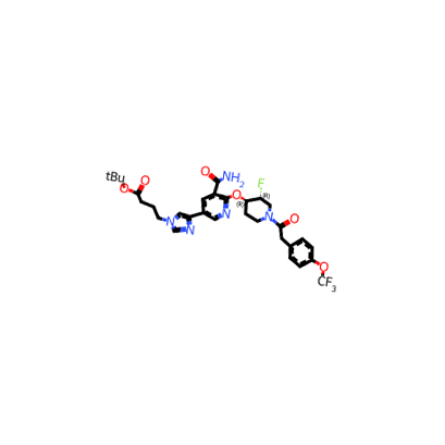 CC(C)(C)OC(=O)CCCn1cnc(-c2cnc(O[C@@H]3CCN(C(=O)Cc4ccc(OC(F)(F)F)cc4)C[C@H]3F)c(C(N)=O)c2)c1